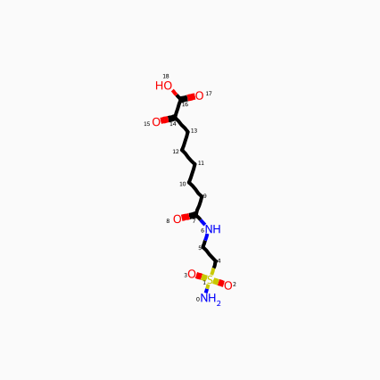 NS(=O)(=O)CCNC(=O)CCCCCC(=O)C(=O)O